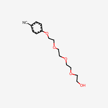 N#Cc1ccc(OCCOCCOCCOCCO)cc1